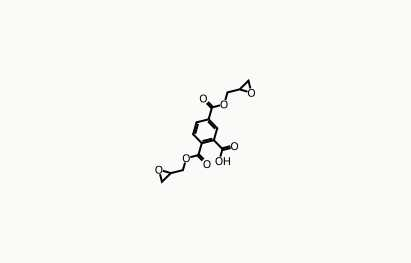 O=C(OCC1CO1)c1ccc(C(=O)OCC2CO2)c(C(=O)O)c1